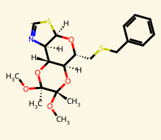 CO[C@@]1(C)O[C@@H]2[C@H]3N=[C]S[C@H]3O[C@H](CSCc3ccccc3)[C@H]2O[C@]1(C)OC